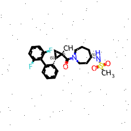 C[C@@]1(C(=O)N2CCC[C@H](NS(C)(=O)=O)CC2)C[C@H]1c1ccccc1-c1c(F)cccc1F